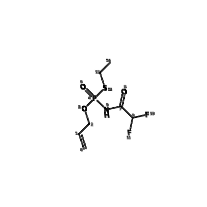 C=CCOP(=O)(NC(=O)C(F)F)SCC